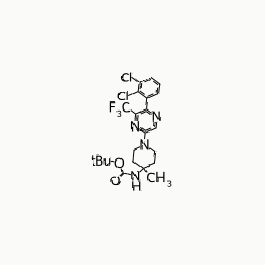 CC1(NC(=O)OC(C)(C)C)CCN(c2cnc(-c3cccc(Cl)c3Cl)c(C(F)(F)F)n2)CC1